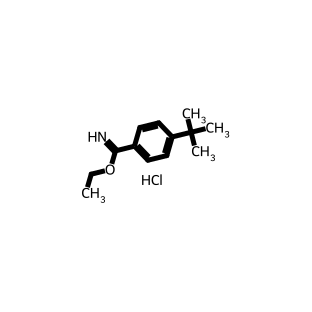 CCOC(=N)c1ccc(C(C)(C)C)cc1.Cl